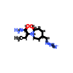 CCC(C(N)=O)N1CCC(CN=[N+]=[N-])CCC1=O